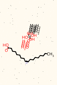 CCCCCCCC/C=C\CCCCCCCC(=O)O.O.O.O.O.O[Si](O)(O)O.[MgH2].[MgH2].[MgH2].[MgH2]